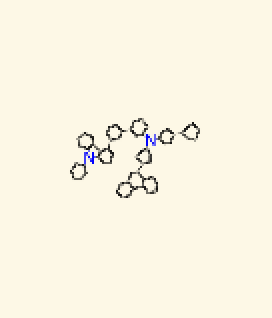 c1ccc(-c2ccc(N(c3ccc(-c4cc5ccccc5c5ccccc45)cc3)c3cccc(-c4cccc(-c5cccc6c5c5ccccc5n6-c5ccccc5)c4)c3)cc2)cc1